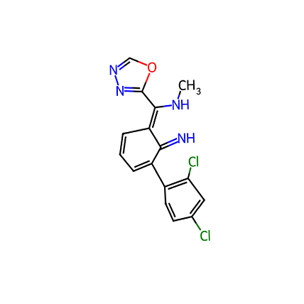 CN/C(=C1/C=CC=C(c2ccc(Cl)cc2Cl)C1=N)c1nnco1